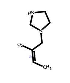 C/C=C(/CC)CN1CCNC1